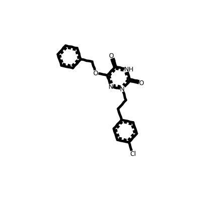 O=c1[nH]c(=O)n(CCc2ccc(Cl)cc2)nc1OCc1ccccc1